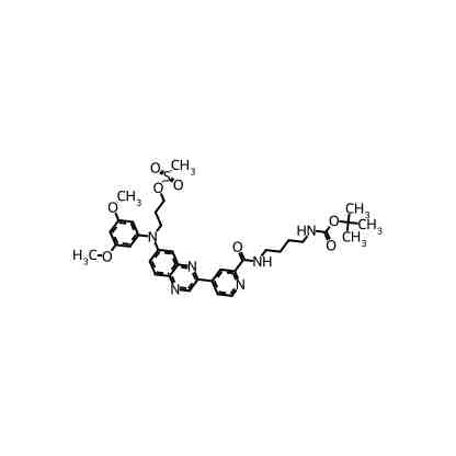 COc1cc(OC)cc(N(CCCOS(C)(=O)=O)c2ccc3ncc(-c4ccnc(C(=O)NCCCCNC(=O)OC(C)(C)C)c4)nc3c2)c1